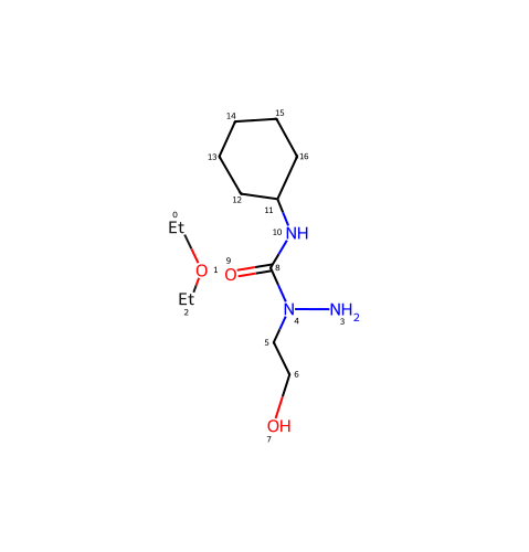 CCOCC.NN(CCO)C(=O)NC1CCCCC1